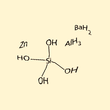 O[Si](O)(O)O.[AlH3].[BaH2].[Zn]